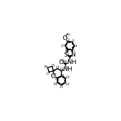 COc1ccc2nc(NC(=O)NC3CC4(CCC4)Oc4ccccc43)sc2c1